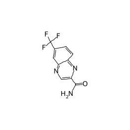 NC(=O)c1cnc2cc(C(F)(F)F)ccc2n1